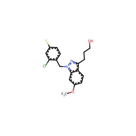 OCCCc1nn(Cc2ccc(F)cc2Cl)c2cc(OC(F)(F)F)ccc12